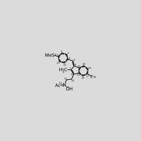 CSc1ccc(/C=C2\C(C)=C(CCN(O)C(C)=O)c3cc(F)ccc32)cc1